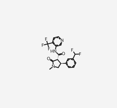 CN1C[C@H](c2cccc(C(F)F)c2)[C@@H](C(=O)Nc2cnccc2C(F)(F)F)C1=O